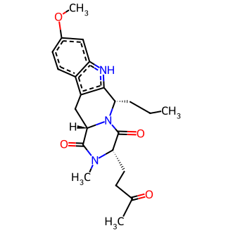 CCC[C@H]1c2[nH]c3cc(OC)ccc3c2C[C@H]2C(=O)N(C)[C@@H](CCC(C)=O)C(=O)N21